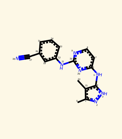 Cc1n[nH]c(Nc2ccnc(Nc3cccc(C#N)c3)n2)c1C